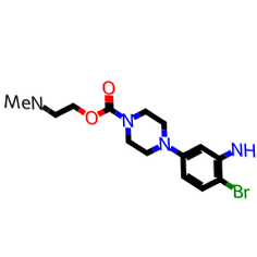 CNCCOC(=O)N1CCN(c2ccc(Br)c(N)c2)CC1